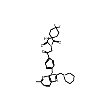 Cc1ccc2nc(CN3CCCCC3)n(-c3ccc(C(=O)CN4C(=O)NC5(CCC(F)(F)CC5)C4=O)cc3)c2n1